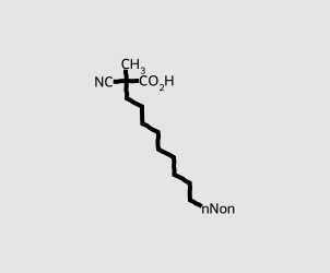 CCCCCCCCCCCCCCCCCCC(C)(C#N)C(=O)O